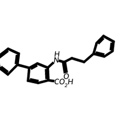 O=C(CCc1ccccc1)Nc1cc(-c2ccccc2)ccc1C(=O)O